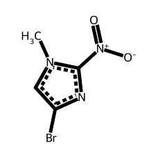 Cn1cc(Br)nc1[N+](=O)[O-]